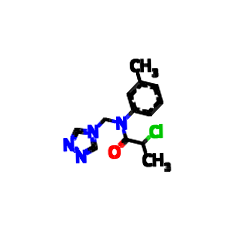 Cc1cccc(N(Cn2cnnc2)C(=O)C(C)Cl)c1